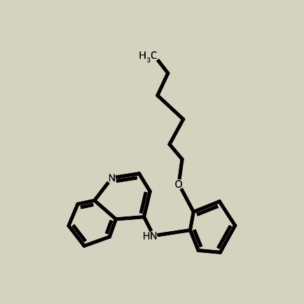 CCCCCCOc1ccccc1Nc1ccnc2ccccc12